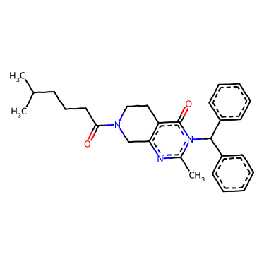 Cc1nc2c(c(=O)n1C(c1ccccc1)c1ccccc1)CCN(C(=O)CCCC(C)C)C2